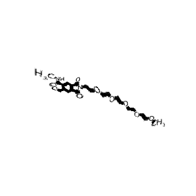 CNC(=O)c1cc2c(cc1C=O)C(=O)N(CCOCCOCCOCCOCCOC)C2=O